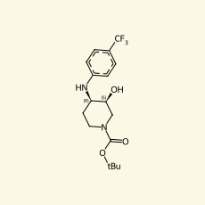 CC(C)(C)OC(=O)N1CC[C@@H](Nc2ccc(C(F)(F)F)cc2)[C@@H](O)C1